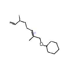 C=CC(C)CC/C=C(\C)COC1CCCCC1